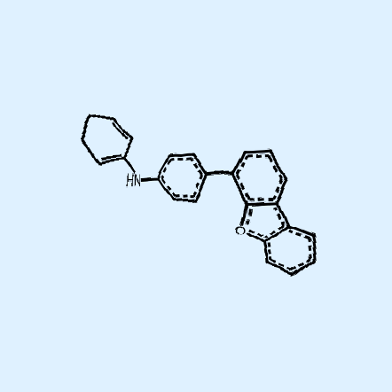 C1=CC(Nc2ccc(-c3cccc4c3oc3ccccc34)cc2)=CCC1